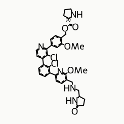 COc1cc(-c2nccc(-c3cccc(-c4ccc(CNCC5CCC(=O)N5)c(OC)n4)c3Cl)c2Cl)ccc1COC(=O)[C@@H]1CCCN1